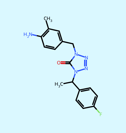 Cc1cc(Cn2nnn(C(C)c3ccc(F)cc3)c2=O)ccc1N